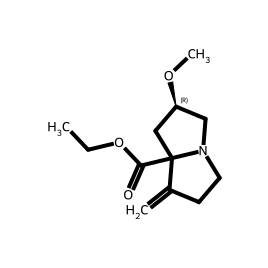 C=C1CCN2C[C@H](OC)CC12C(=O)OCC